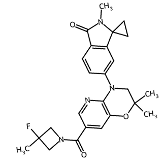 CN1C(=O)c2ccc(N3CC(C)(C)Oc4cc(C(=O)N5CC(C)(F)C5)cnc43)cc2C12CC2